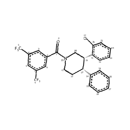 O=C(c1cc(C(F)(F)F)cc(C(F)(F)F)c1)N1CC[C@@H](c2ccccc2)[C@@H](c2ccccc2Cl)C1